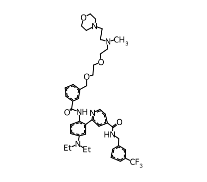 CCN(CC)c1ccc(NC(=O)c2cccc(COCCOCCN(C)CCN3CCOCC3)c2)c(-c2cc(C(=O)NCc3cccc(C(F)(F)F)c3)ccn2)c1